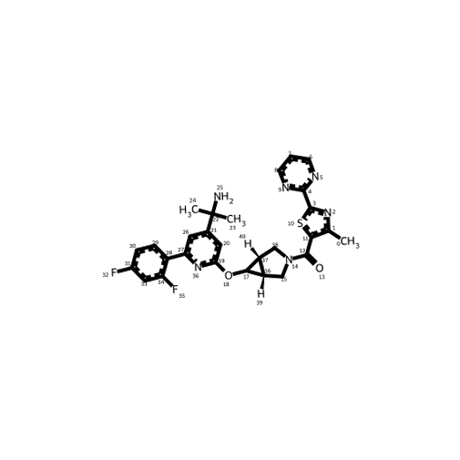 Cc1nc(-c2ncccn2)sc1C(=O)N1C[C@@H]2C(Oc3cc(C(C)(C)N)cc(-c4ccc(F)cc4F)n3)[C@@H]2C1